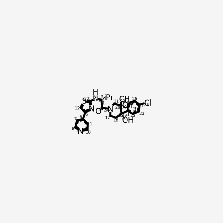 CC(C)[C@@H](Nc1nc(-c2ccncc2)cs1)C(=O)N1CC[C@](O)(c2ccc(Cl)cc2)C(C)(C)C1